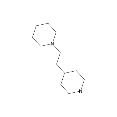 C1CCN(CCC2CC[N]CC2)CC1